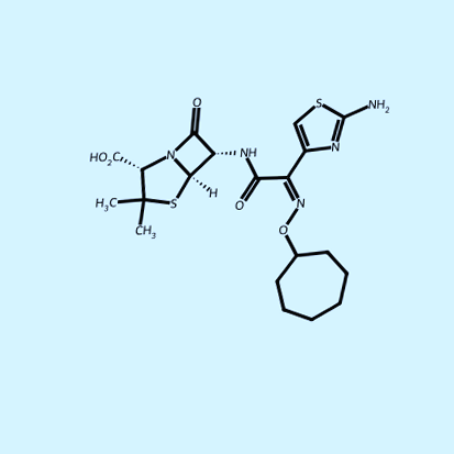 CC1(C)S[C@@H]2[C@@H](NC(=O)/C(=N\OC3CCCCCC3)c3csc(N)n3)C(=O)N2[C@H]1C(=O)O